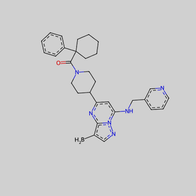 Bc1cnn2c(NCc3cccnc3)cc(C3CCN(C(=O)C4(c5ccccc5)CCCCC4)CC3)nc12